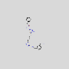 CN(C)Cc1cccc(CC(=O)Nc2nnc(CCCCC3SC(NC(=O)Cc4ccccc4)=NN3C)s2)c1